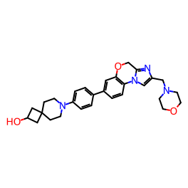 OC1CC2(CCN(c3ccc(-c4ccc5c(c4)OCc4nc(CN6CCOCC6)cn4-5)cc3)CC2)C1